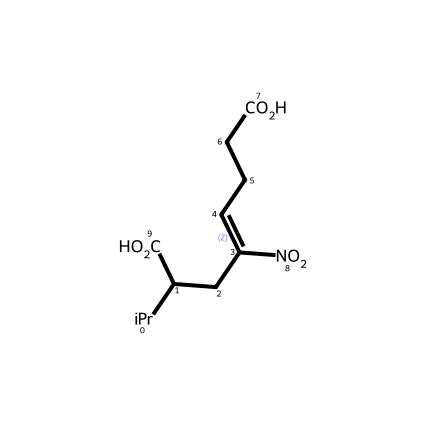 CC(C)C(C/C(=C/CCC(=O)O)[N+](=O)[O-])C(=O)O